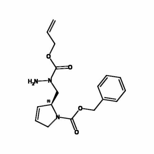 C=CCOC(=O)N(N)C[C@@H]1C=CCN1C(=O)OCc1ccccc1